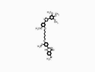 COc1ccc2c(c1)C(=O)NC(c1ccc(OCCCCCCOc3cc(C4=NOC(c5cc(OC)c(OC)c(OC)c5)C4)ccc3OC)c(OC)c1)N2